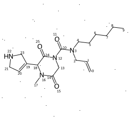 C=CCN(CCCCCC)C(=O)N1CC(=O)N(C)C(C2=CCNC2)C1=O